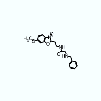 COc1ccc2c(c1)OC(CCNC(=O)CNCc1ccccc1)[N+]2=O